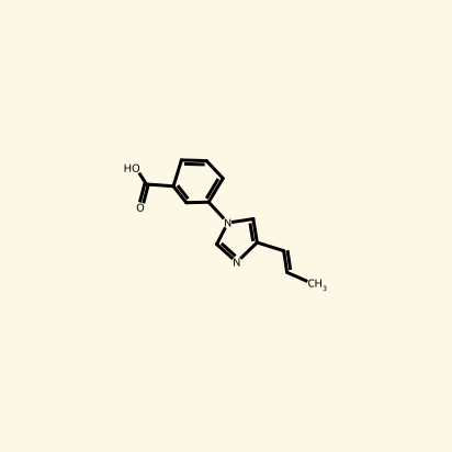 CC=Cc1cn(-c2cccc(C(=O)O)c2)cn1